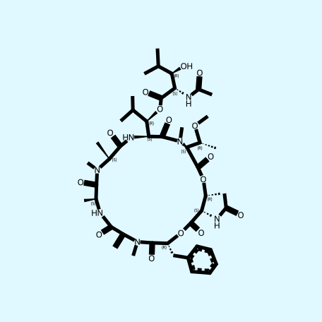 C=C1C(=O)N[C@@H](C)C(=O)N(C)[C@@H](C)C(=O)N[C@@H]([C@H](OC(=O)[C@@H](NC(C)=O)[C@H](O)C(C)C)C(C)C)C(=O)N(C)[C@@H]([C@@H](C)OC)C(=O)O[C@H](C)[C@H](NC(C)=O)C(=O)O[C@H](Cc2ccccc2)C(=O)N1C